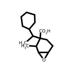 CC(C1CCCCC1)C1(C(=O)O)CCC2OC2C1C